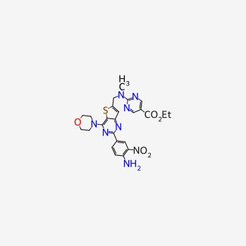 CCOC(=O)c1cnc(N(C)Cc2cc3nc(-c4ccc(N)c([N+](=O)[O-])c4)nc(N4CCOCC4)c3s2)nc1